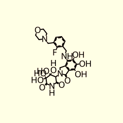 O=C1NC(=O)C(O)(O)C(O)(O)C1N1Cc2c(NCc3cccc(CN4CCOCC4)c3F)c(O)c(O)c(O)c2C1=O